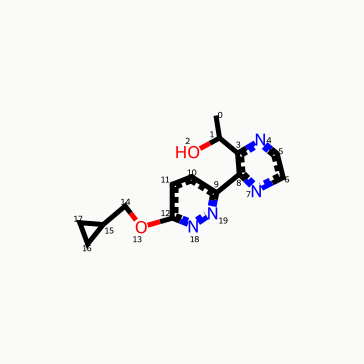 CC(O)c1nccnc1-c1ccc(OCC2CC2)nn1